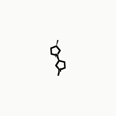 C[C@H]1CCN([C@H]2CCN(C)C2)C1